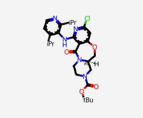 CC(C)c1ccnc(C(C)C)c1Nc1nc(Cl)cc2c1C(=O)N1CCN(C(=O)OC(C)(C)C)C[C@@H]1CO2